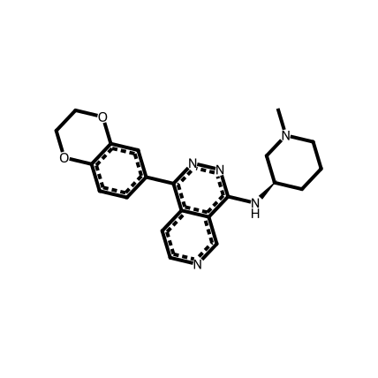 CN1CCC[C@@H](Nc2nnc(-c3ccc4c(c3)OCCO4)c3ccncc23)C1